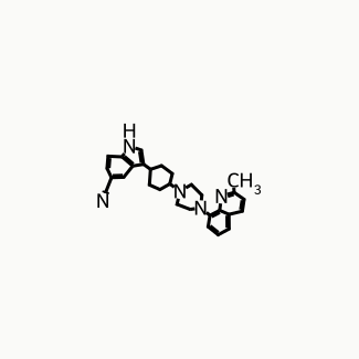 Cc1ccc2cccc(N3CCN(C4CCC(c5c[nH]c6ccc(C#N)cc56)CC4)CC3)c2n1